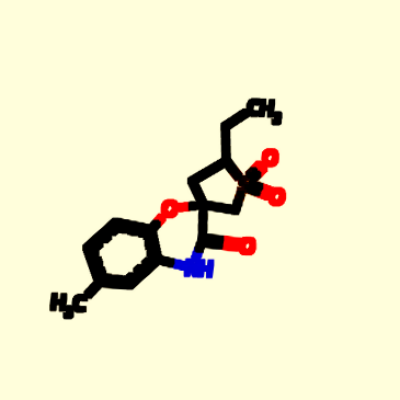 CCC1CC2(CS1(=O)=O)Oc1ccc(C)cc1NC2=O